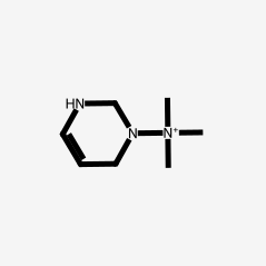 C[N+](C)(C)N1CC=CNC1